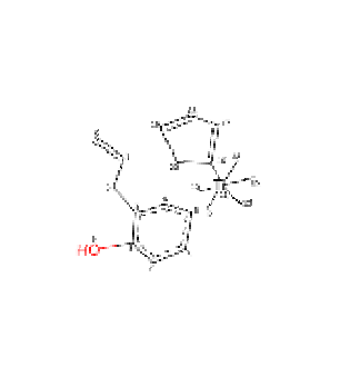 C=CCc1ccccc1O.[CH3][Ti]([CH3])([CH3])([CH3])([CH3])[C]1=CC=CC1